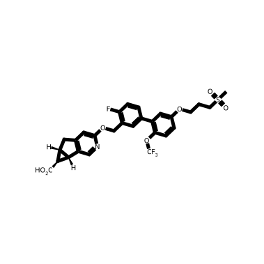 CS(=O)(=O)CCCOc1ccc(OC(F)(F)F)c(-c2ccc(F)c(COc3cc4c(cn3)[C@H]3[C@@H](C4)[C@@H]3C(=O)O)c2)c1